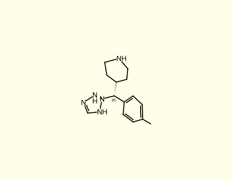 Cc1ccc([C@@H](C2CCNCC2)N2NC=NN2)cc1